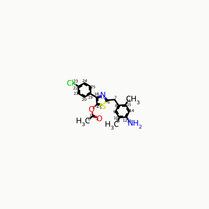 CC(=O)Oc1sc(Cc2cc(C)c(N)cc2C)nc1-c1ccc(Cl)cc1